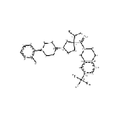 Cc1ccccc1N1CCN(C2CCC(C(=O)N3CCc4ncc(C(F)(F)F)cc4C3)(C(C)C)C2)CC1